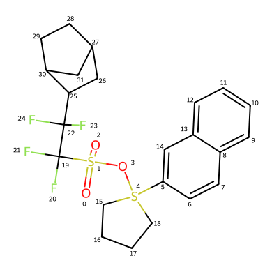 O=S(=O)(OS1(c2ccc3ccccc3c2)CCCC1)C(F)(F)C(F)(F)C1CC2CCC1C2